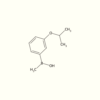 CB(O)c1cccc(OC(C)C)c1